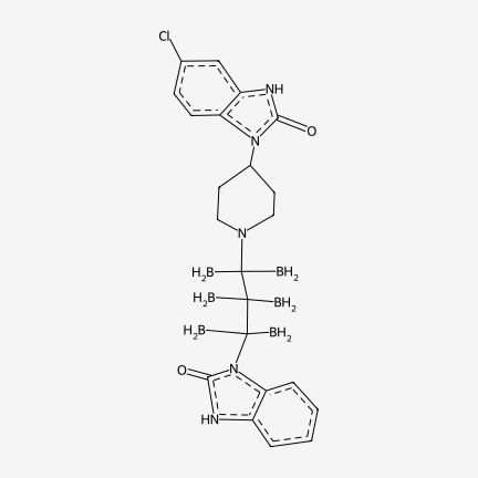 BC(B)(N1CCC(n2c(=O)[nH]c3cc(Cl)ccc32)CC1)C(B)(B)C(B)(B)n1c(=O)[nH]c2ccccc21